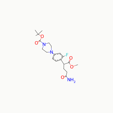 COC(=O)C(CCC(N)=O)c1ccc(N2CCN(C(=O)OC(C)(C)C)CC2)cc1F